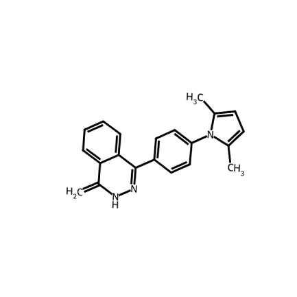 C=C1NN=C(c2ccc(-n3c(C)ccc3C)cc2)c2ccccc21